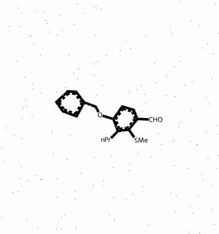 CCCc1c(OCc2ccccc2)ccc(C=O)c1SC